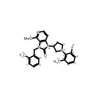 COc1nccc2c1n(Cc1ccccc1C(F)(F)F)c(=O)n2C1CCN(c2c(C)cccc2F)C1